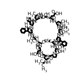 CC(C)CC1NC(=O)C(Cc2cnc[nH]2)NC(=O)C(Cc2c[nH]c3ccccc23)NC(=O)C(C)NC(=O)C2CSSCC(NC(=O)C(Cc3c[nH]c4ccccc34)NC(=O)C(C(C)C)NC(=O)C(CC(C)C)NC(=O)C(CCC(=O)O)NC(=O)CNC1=O)C(=O)NC(C(C)O)C(=O)N1CCCC1C(=O)N1CC(NC(C)C)CC1C(=O)NC(CC(=O)O)C(=O)N2